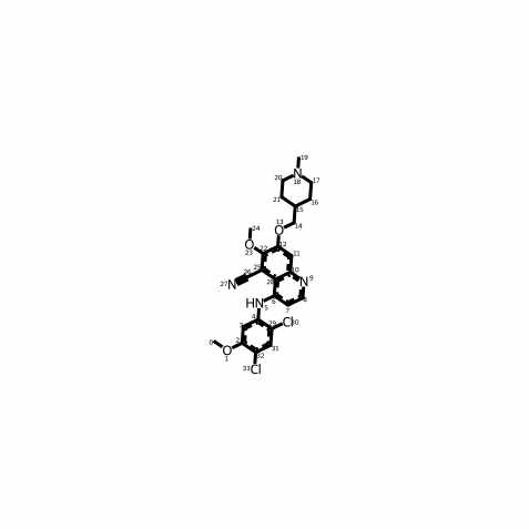 COc1cc(Nc2ccnc3cc(OCC4CCN(C)CC4)c(OC)c(C#N)c23)c(Cl)cc1Cl